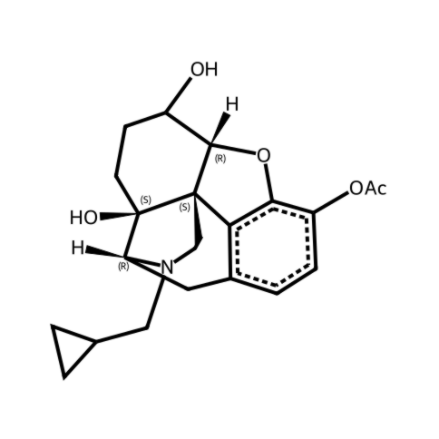 CC(=O)Oc1ccc2c3c1O[C@H]1C(O)CC[C@@]4(O)[C@@H](C2)N(CC2CC2)CC[C@]314